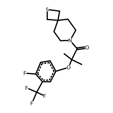 CC(C)(Oc1ccc(F)c(C(F)(F)F)c1)C(=O)N1CCC2(CC1)CSC2